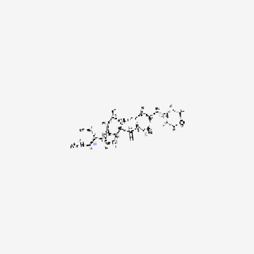 C=C/C(=C\NC)c1cnc2c(Nc3cnc(CN4CCOCC4)nc3)nc(C)cn12